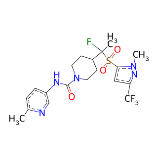 Cc1ccc(NC(=O)N2CCC(C(C)(F)S(=O)(=O)c3cc(C(F)(F)F)nn3C)CC2)cn1